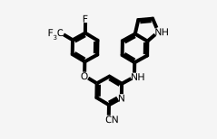 N#Cc1cc(Oc2ccc(F)c(C(F)(F)F)c2)cc(Nc2ccc3cc[nH]c3c2)n1